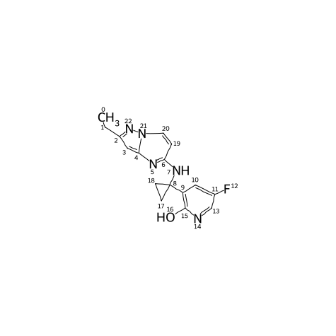 CCc1cc2nc(NC3(c4cc(F)cnc4O)CC3)ccn2n1